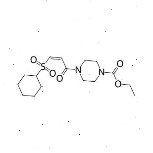 CCOC(=O)N1CCN(C(=O)/C=C\S(=O)(=O)C2CCCCC2)CC1